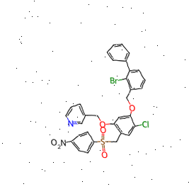 O=[N+]([O-])c1ccc(S(=O)(=O)Cc2cc(Cl)c(OCc3cccc(-c4ccccc4)c3Br)cc2OCc2cccnc2)cc1